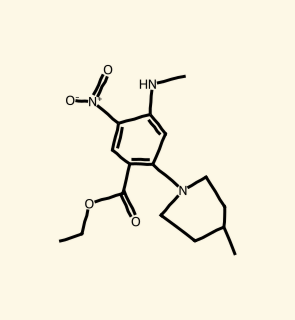 CCOC(=O)c1cc([N+](=O)[O-])c(NC)cc1N1CCC(C)CC1